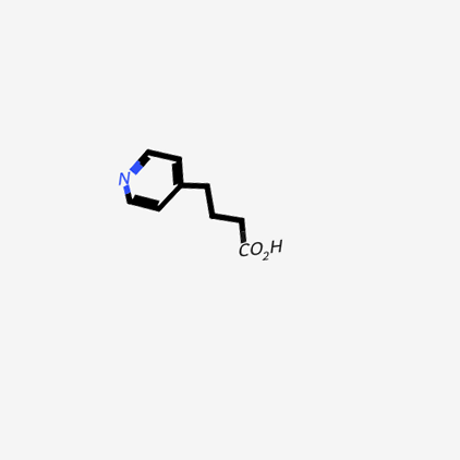 O=C(O)CCCc1ccncc1